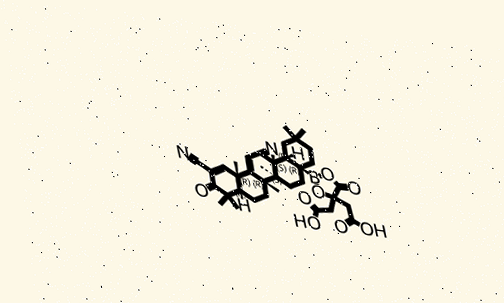 CC1(C)CC[C@]2(B3OC(=O)C(CC(=O)O)(CC(=O)O)O3)CC[C@@]3(C)[C@]4(C)CC[C@H]5C(C)(C)C(=O)C(C#N)=C[C@]5(C)C4=CC4=N[C@]43[C@@H]2C1